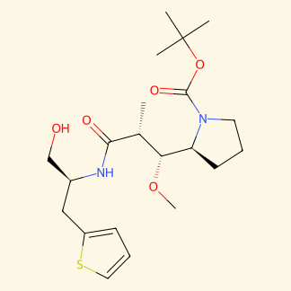 CO[C@H]([C@@H](C)C(=O)N[C@H](CO)Cc1cccs1)[C@@H]1CCCN1C(=O)OC(C)(C)C